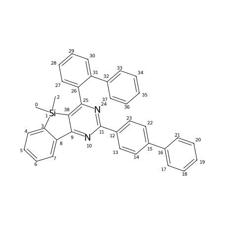 C[Si]1(C)c2ccccc2-c2nc(-c3ccc(-c4ccccc4)cc3)nc(-c3ccccc3-c3ccccc3)c21